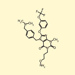 CN(C)Cc1ccc(Cn2c(Oc3cccc(OC(F)(F)F)c3)nc3c2c(=O)n(CCCON)c(=O)n3C)cc1